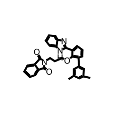 Cc1cc(C)cc(-c2cccc(-c3nc4ccccc4[nH]3)c2OCCCN2C(=O)c3ccccc3C2=O)c1